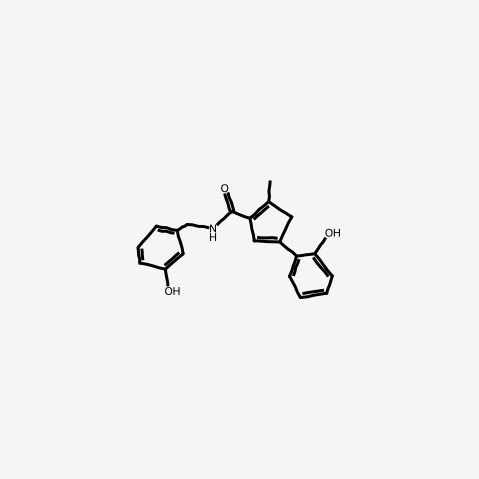 CC1=C(C(=O)NCc2cccc(O)c2)C=C(c2ccccc2O)C1